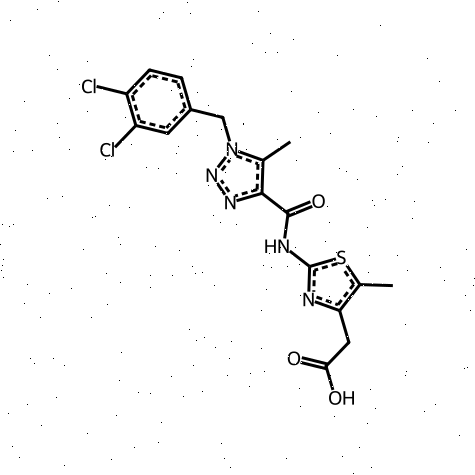 Cc1sc(NC(=O)c2nnn(Cc3ccc(Cl)c(Cl)c3)c2C)nc1CC(=O)O